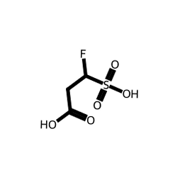 O=C(O)CC(F)S(=O)(=O)O